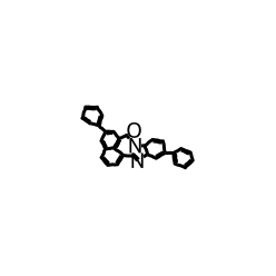 O=c1c2cc(-c3ccccc3)cc3cccc(c4n1C1C=CC(c5ccccc5)=CC1N=4)c32